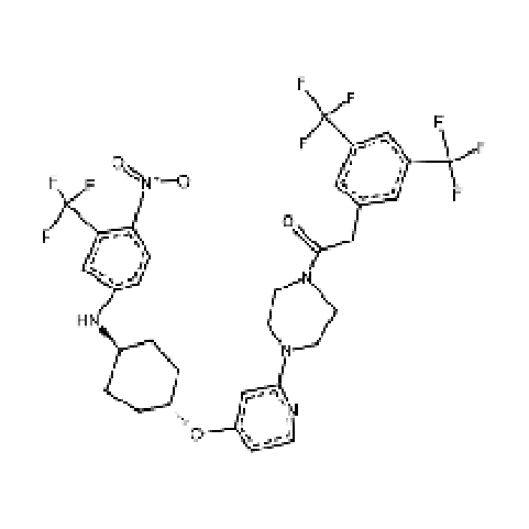 O=C(Cc1cc(C(F)(F)F)cc(C(F)(F)F)c1)N1CCN(c2cc(O[C@H]3CC[C@H](Nc4ccc([N+](=O)[O-])c(C(F)(F)F)c4)CC3)ccn2)CC1